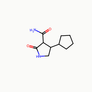 NC(=O)C1C(=O)NCC1C1CCCC1